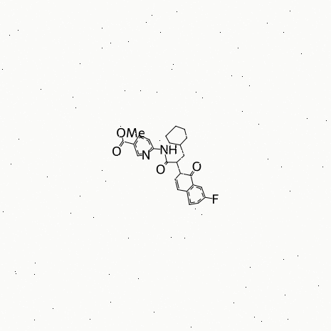 COC(=O)c1ccc(NC(=O)C(CC2CCCCC2)C2C=Cc3ccc(F)cc3C2=O)nc1